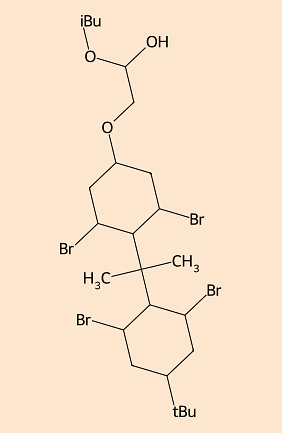 CCC(C)OC(O)COC1CC(Br)C(C(C)(C)C2C(Br)CC(C(C)(C)C)CC2Br)C(Br)C1